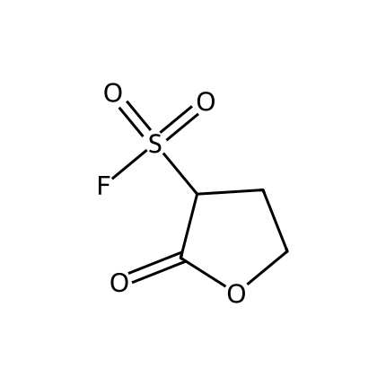 O=C1OCCC1S(=O)(=O)F